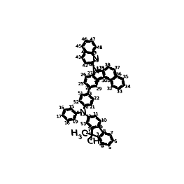 CC1(C)c2ccccc2-c2ccc(N(c3ccccc3)c3ccc(-c4ccc5c(c4)c4c6ccccc6ccc4n5-c4ccc5ccccc5n4)cc3)cc21